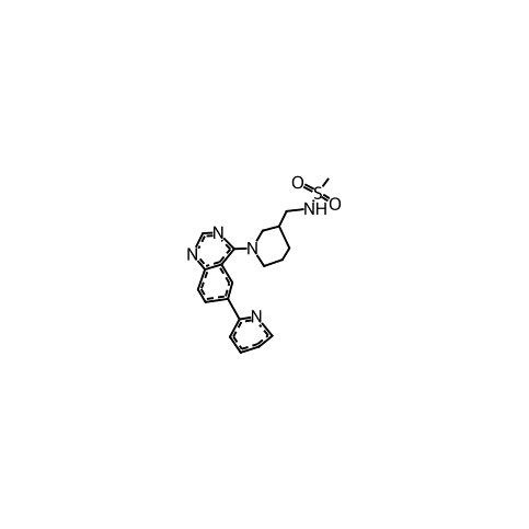 CS(=O)(=O)NCC1CCCN(c2ncnc3ccc(-c4ccccn4)cc23)C1